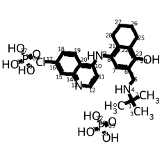 CC(C)(C)NCc1cc(Nc2ccnc3cc(Cl)ccc23)c2c(c1O)CCCC2.O=P(O)(O)O.O=P(O)(O)O